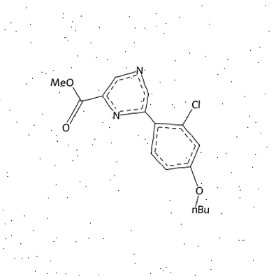 CCCCOc1ccc(-c2cncc(C(=O)OC)n2)c(Cl)c1